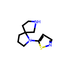 c1cc(N2CCCC23CCNC3)sn1